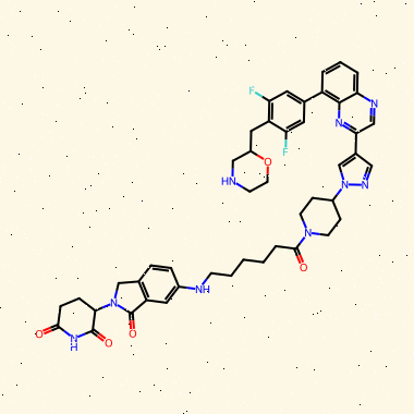 O=C1CCC(N2Cc3ccc(NCCCCCC(=O)N4CCC(n5cc(-c6cnc7cccc(-c8cc(F)c(CC9CNCCO9)c(F)c8)c7n6)cn5)CC4)cc3C2=O)C(=O)N1